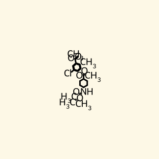 COC(=O)c1cc(Cl)c2c(c1C)OC(C)(C1CCC(NC(=O)OC(C)(C)C)CC1)O2